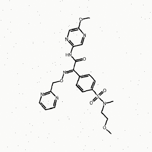 COCCN(C)S(=O)(=O)c1ccc(/C(=N\OCc2ncccn2)C(=O)Nc2cnc(OC)cn2)cc1